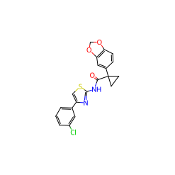 O=C(Nc1nc(-c2cccc(Cl)c2)cs1)C1(c2ccc3c(c2)OCO3)CC1